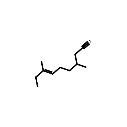 CCC(C)=CCCC(C)CC#N